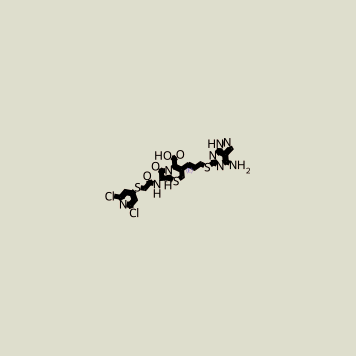 Nc1nc(SC/C=C/C2=C(C(=O)O)N3C(=O)[C@@H](NC(=O)CSc4cc(Cl)nc(Cl)c4)[C@H]3SC2)nc2[nH]ncc12